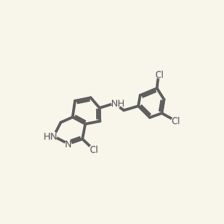 ClC1=NNCc2ccc(NCc3cc(Cl)cc(Cl)c3)cc21